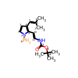 CC(C)=Cc1ccn(P)c1/C=C/NC(=O)OC(C)(C)C